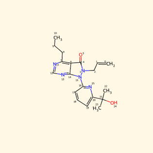 C=CCn1c(=O)c2c(CCC)ncnc2n1-c1cccc(C(C)(C)O)n1